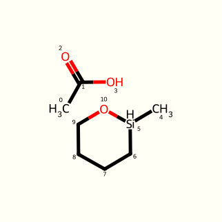 CC(=O)O.C[SiH]1CCCCO1